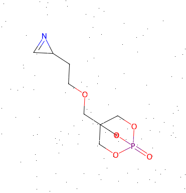 O=P12OCC(COCCC3C=N3)(CO1)CO2